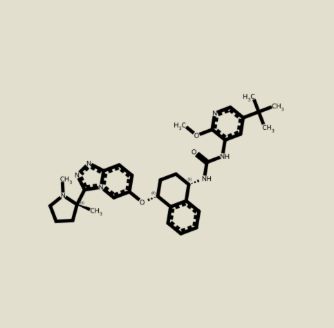 COc1ncc(C(C)(C)C)cc1NC(=O)N[C@H]1CC[C@@H](Oc2ccc3nnc([C@]4(C)CCCN4C)n3c2)c2ccccc21